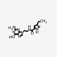 CCc1cc(C(=O)NCCn2cnc3c(O)nc(N)nc32)[nH]n1